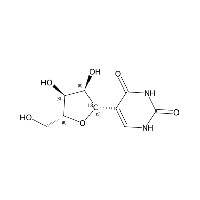 O=c1[nH]cc([13C@@H]2O[C@H](CO)[C@@H](O)[C@H]2O)c(=O)[nH]1